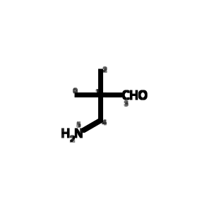 CC(C)(C=O)CN